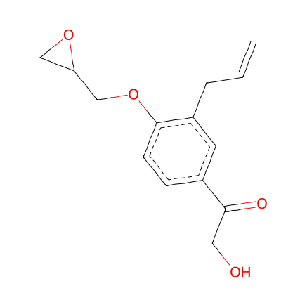 C=CCc1cc(C(=O)CO)ccc1OCC1CO1